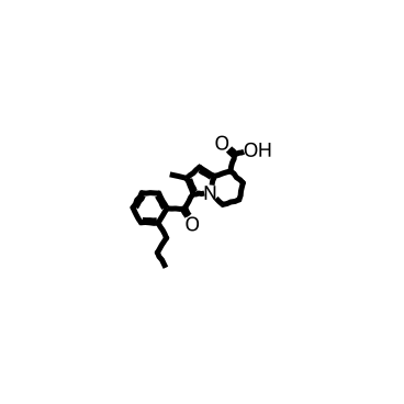 CCCc1ccccc1C(=O)c1c(C)cc2n1CCCC2C(=O)O